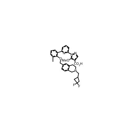 COc1c(C(=O)O)cnn1-c1cccc(-c2cccc(C)c2OCc2ccc3c(c2)CCN(CC2CC(F)(F)C2)C3)n1